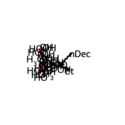 CC/C=C\C=C\[C@@H](O)[C@H](CO[C@@H]1OC(CO)[C@@H](O[C@@H]2OC(CO)[C@H](O[C@@H]3OC(CO)[C@H](O)[C@H](O[C@@H]4OC(CO)[C@H](O)[C@H](O)C4O)C3C)[C@H](OC3C[C@@H](O)[C@@H](C)C([C@H](O)[C@H](O)CO)O3)C2O)[C@H](O)C1O)NC(=O)CCCCCCCCCCCCCCCCC